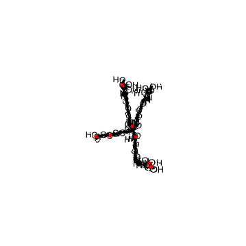 O=C(O)CCOCCOCCOCCOCCC(=O)NC(CCC(=O)NCCOCCOCCOCc1cn([C@H]2CO[C@H](CO)[C@H](O)[C@@H]2O)nn1)(CCC(=O)NCCOCCOCCOCc1cn([C@H]2CO[C@H](CO)[C@H](O)[C@@H]2O)nn1)CCC(=O)NCCOCCOCCOCc1cn([C@H]2CO[C@H](CO)[C@H](O)[C@@H]2O)nn1